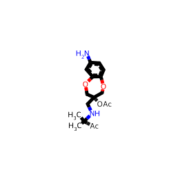 CC(=O)OC1(CNC(C)(C)C(C)=O)COc2ccc(N)cc2OC1